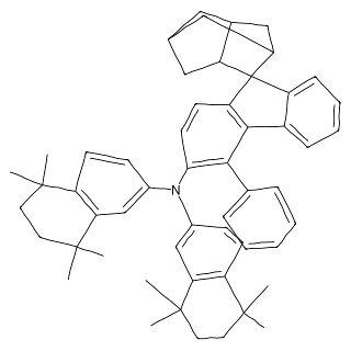 CC1(C)CCC(C)(C)c2cc(N(c3ccc4c(c3)C(C)(C)CCC4(C)C)c3ccc4c(c3-c3ccccc3)-c3ccccc3C43C4CC5CC(C4)C3C5)ccc21